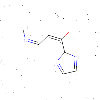 C/N=C\C=C(\O)C1N=CC=N1